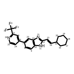 FC(F)(F)c1cc(-c2ccc3[nH]c(C=CC4CCCCC4)nc3c2)ccn1